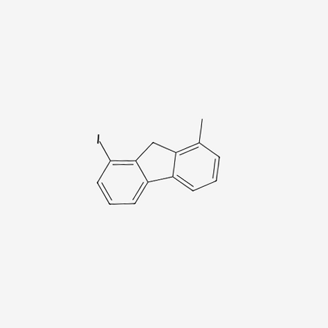 Cc1cccc2c1Cc1c(I)cccc1-2